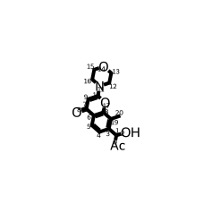 CC(=O)C(O)c1ccc2c(=O)cc(N3CCOCC3)oc2c1C